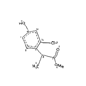 COC(=O)C(C)c1ccc(O)cc1Cl